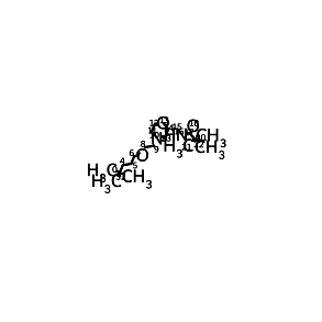 CC(C)(C)CCCOCCN1CCO[C@H](CNC(=O)C(C)(C)C)C1